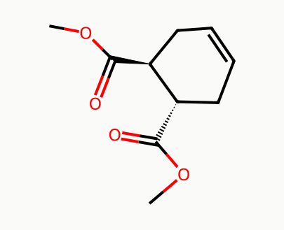 COC(=O)[C@H]1CC=CC[C@@H]1C(=O)OC